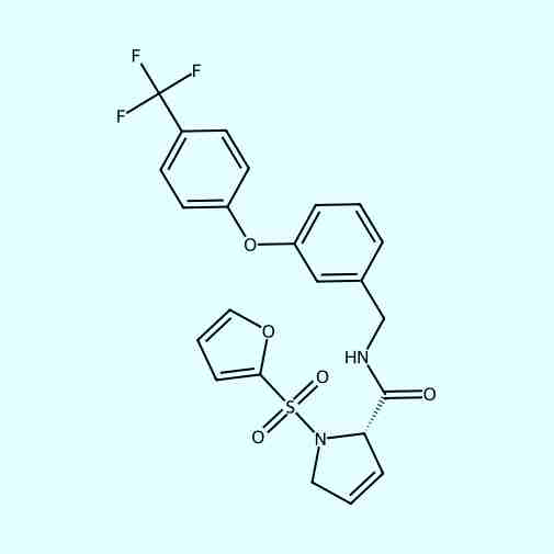 O=C(NCc1cccc(Oc2ccc(C(F)(F)F)cc2)c1)[C@@H]1C=CCN1S(=O)(=O)c1ccco1